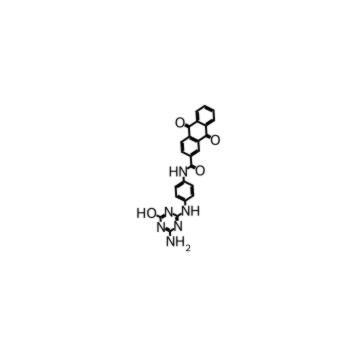 Nc1nc(O)nc(Nc2ccc(NC(=O)c3ccc4c(c3)C(=O)c3ccccc3C4=O)cc2)n1